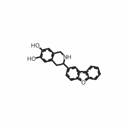 Oc1cc2c(cc1O)CC(c1ccc3oc4ccccc4c3c1)NC2